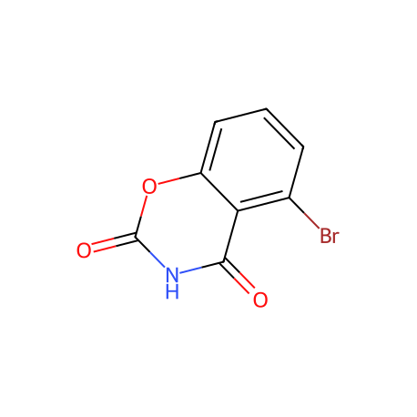 O=c1[nH]c(=O)c2c(Br)cccc2o1